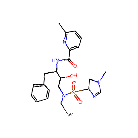 Cc1cccc(C(=O)NC(Cc2ccccc2)C(O)CN(CC(C)C)S(=O)(=O)C2CN(C)C=N2)n1